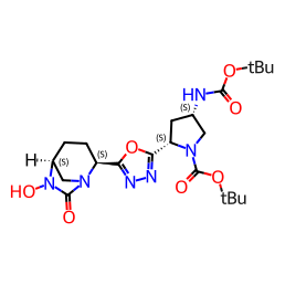 CC(C)(C)OC(=O)N[C@H]1C[C@@H](c2nnc([C@@H]3CC[C@H]4CN3C(=O)N4O)o2)N(C(=O)OC(C)(C)C)C1